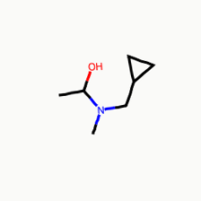 CC(O)N(C)CC1CC1